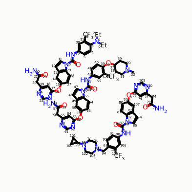 CCN(CC)c1ccc(NC(=O)n2ccc3cc(Oc4cc(CC(N)=O)ncn4)ccc32)cc1C(F)(F)F.CN1CCC(Oc2ccc(NC(=O)n3ccc4cc(Oc5cc(CC(N)=O)ncn5)ccc43)cc2C(F)(F)F)CC1.NC(=O)Cc1cc(Oc2ccc3c(ccn3C(=O)Nc3ccc(CN4CCN(C5CC5)CC4)c(C(F)(F)F)c3)c2)ncn1